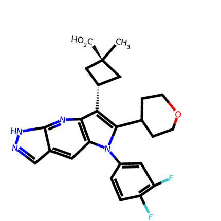 C[C@]1(C(=O)O)C[C@H](c2c(C3CCOCC3)n(-c3ccc(F)c(F)c3)c3cc4cn[nH]c4nc32)C1